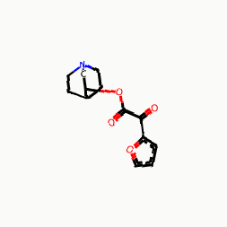 O=C(OC1CN2CCC1CC2)C(=O)c1ccco1